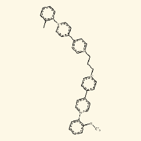 Cc1ccccc1-[n+]1ccc(-c2cc[n+](CCC[n+]3ccc(-c4cc[n+](-c5ccccc5OC(F)(F)F)cc4)cc3)cc2)cc1